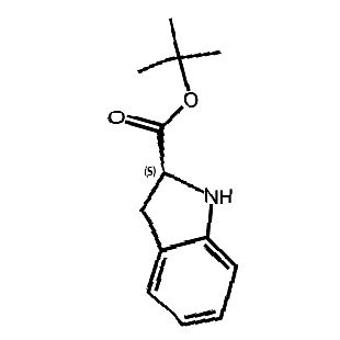 CC(C)(C)OC(=O)[C@@H]1Cc2ccccc2N1